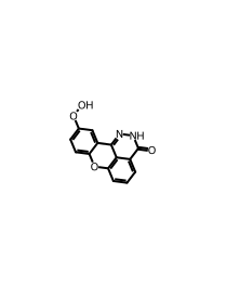 O=c1[nH]nc2c3c(cccc13)Oc1ccc(OO)cc1-2